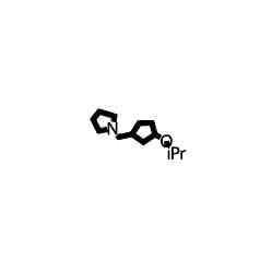 CC(C)OC1CCC(CN2CCCC2)C1